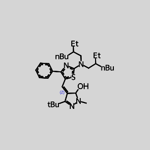 CCCCC(CC)CN(CC(CC)CCCC)c1nc(-c2ccccc2)c(/C=C2/C(C(C)(C)C)=NN(C)C2O)s1